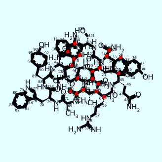 CC[C@H](C)[C@H](NC(=O)[C@H](Cc1c[nH]c2ccccc12)NC(=O)[C@H](Cc1ccccc1)NC(=O)[C@H](Cc1ccc(O)cc1)NC(=O)[C@H](CCC(N)=O)NC(=O)[C@H](CCCNC(=N)N)NC(C)=O)C(=O)N[C@@H](C)C(=O)N[C@@H](Cc1c[nH]c2ccccc12)C(=O)N[C@@H](Cc1ccc(O)cc1)C(=O)N[C@@H](CCCCN)C(=O)N[C@@H](CC(C)C)C(=O)N[C@@H](C)C(=O)N[C@@H](CC(N)=O)C(=O)N[C@@H](CO)C(=O)N[C@@H](CCCCN)C(N)=O